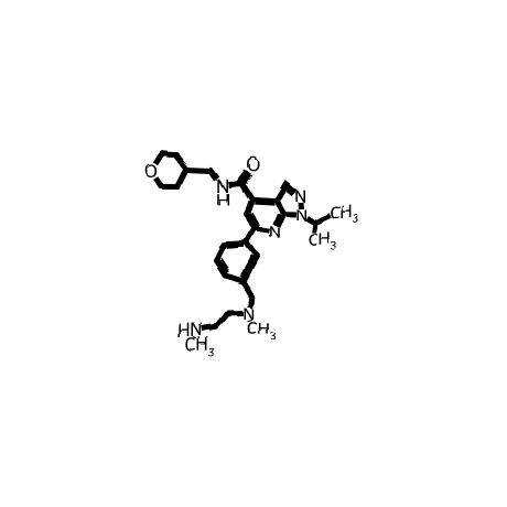 CNCCN(C)Cc1cccc(-c2cc(C(=O)NCC3CCOCC3)c3cnn(C(C)C)c3n2)c1